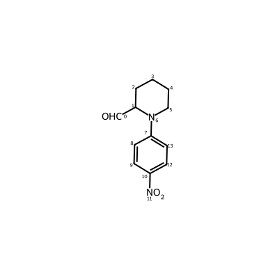 O=CC1CCCCN1c1ccc([N+](=O)[O-])cc1